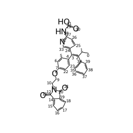 CCC(=C(c1ccc(OCCN2C(=O)c3ccccc3C2=O)cc1)c1ccc(NC(=O)O)nc1)c1ccccc1